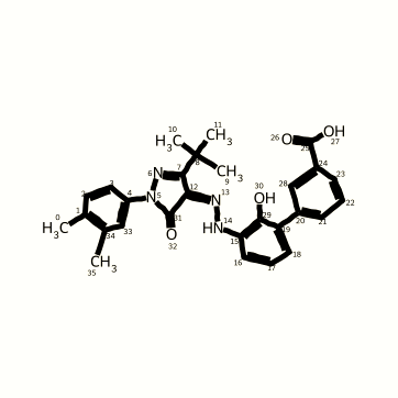 Cc1ccc(N2N=C(C(C)(C)C)C(=NNc3cccc(-c4cccc(C(=O)O)c4)c3O)C2=O)cc1C